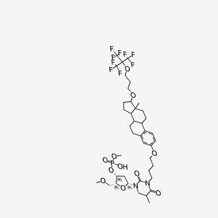 COC[C@H]1O[C@@H](N2CC(C)C(=O)N(CCCCOc3ccc4c(c3)CCC3C4CCC4(C)C(OCCCOC(C(F)(F)F)(C(F)(F)F)C(F)(F)F)CCC34)C2=O)C[C@H]1OP(=O)(O)OC